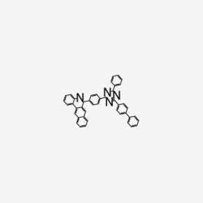 c1ccc(-c2ccc(-c3nc(-c4ccccc4)nc(-c4ccc(-c5nc6ccccc6c6cc7ccccc7cc56)cc4)n3)cc2)cc1